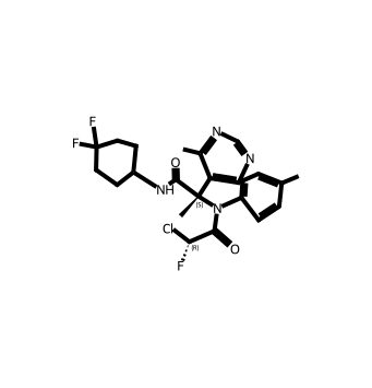 Cc1ccc(N(C(=O)[C@H](F)Cl)[C@](C)(C(=O)NC2CCC(F)(F)CC2)c2cncnc2C)cc1